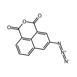 [N-]=[N+]=Nc1cc2c3c(cccc3c1)C(=O)OC2=O